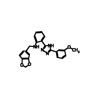 COc1cccc(-c2nnc(-c3ccccc3NCc3ccc4c(c3)OCO4)[nH]2)c1